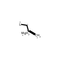 [Li][CH2]C=C.[MgH2]